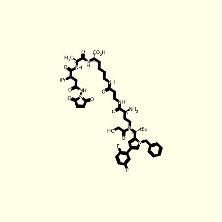 CC(C)C(CC(=O)NN1C(=O)C=CC1=O)C(=O)N[C@@H](C)C(=O)N[C@@H](CCCCNC(=O)CCNC(=O)[C@@H](N)CCN(C(=O)CO)[C@@H](c1cc(-c2cc(F)ccc2F)cn1Cc1ccccc1)C(C)(C)C)C(=O)O